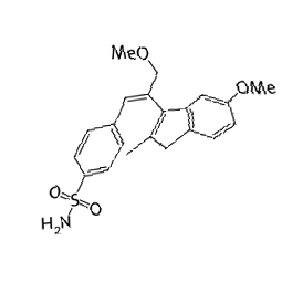 COC/C(=C/c1ccc(S(N)(=O)=O)cc1)C1=C(C)Cc2ccc(OC)cc21